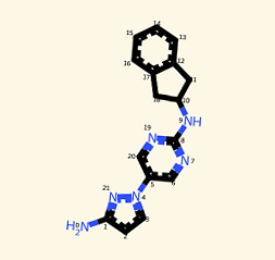 Nc1ccn(-c2cnc(NC3Cc4ccccc4C3)nc2)n1